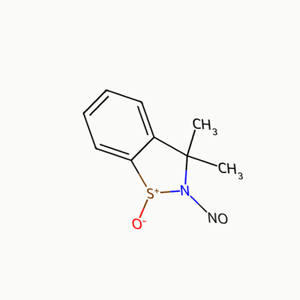 CC1(C)c2ccccc2[S+]([O-])N1N=O